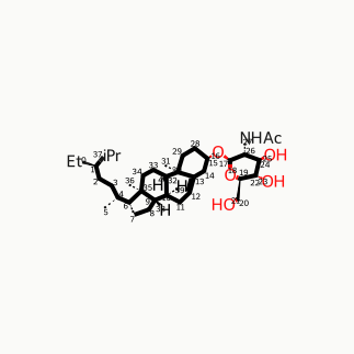 CC[C@H](CC[C@@H](C)[C@H]1CC[C@H]2[C@@H]3CC=C4C[C@@H](O[C@@H]5O[C@H](CO)[C@@H](O)[C@H](O)[C@H]5NC(C)=O)CC[C@]4(C)[C@H]3CC[C@]12C)C(C)C